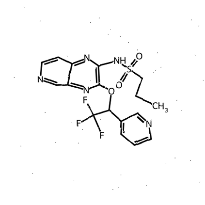 CCCS(=O)(=O)Nc1nc2ccncc2nc1OC(c1cccnc1)C(F)(F)F